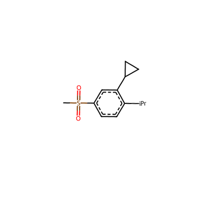 CC(C)c1ccc(S(C)(=O)=O)cc1C1CC1